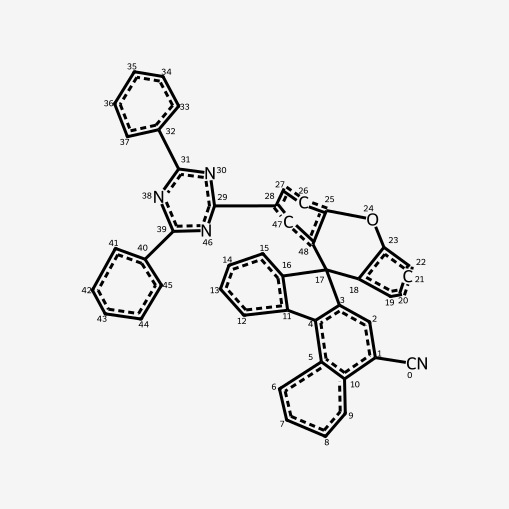 N#Cc1cc2c(c3ccccc13)-c1ccccc1C21c2ccccc2Oc2ccc(-c3nc(-c4ccccc4)nc(-c4ccccc4)n3)cc21